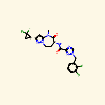 CN1C(=O)[C@@H](NC(=O)c2ncn(Cc3cccc(F)c3F)n2)CCn2nc([C@@H]3CC3(F)F)cc21